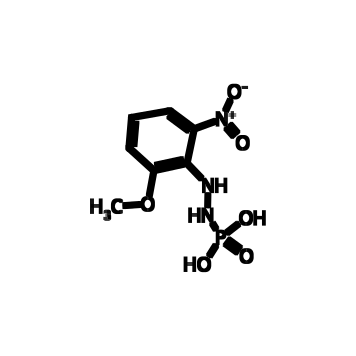 COc1cccc([N+](=O)[O-])c1NNP(=O)(O)O